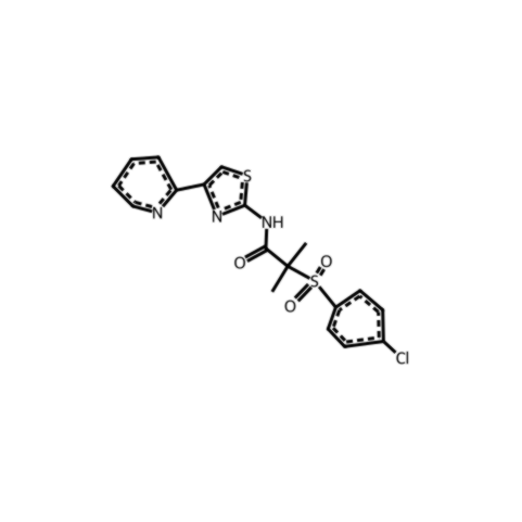 CC(C)(C(=O)Nc1nc(-c2ccccn2)cs1)S(=O)(=O)c1ccc(Cl)cc1